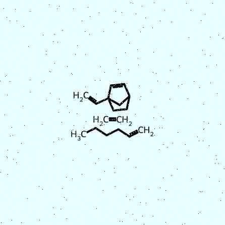 C=C.C=CC12C=CC(CC1)C2.C=CCCCC